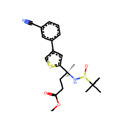 COC(=O)CC[C@](C)(N[S+]([O-])C(C)(C)C)c1cc(-c2cccc(C#N)c2)cs1